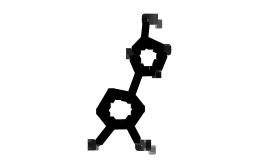 Cc1nc(-c2ccc(Br)c(C)c2)no1